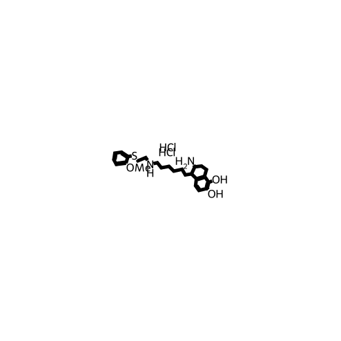 COc1ccccc1SCCNCCCCCCC1c2ccc(O)c(O)c2CCC1N.Cl.Cl